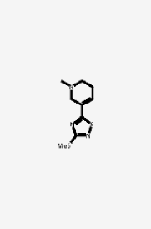 CSc1nsc(C2=CCCN(C)C2)n1